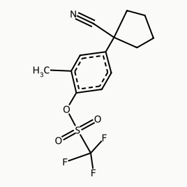 Cc1cc(C2(C#N)CCCC2)ccc1OS(=O)(=O)C(F)(F)F